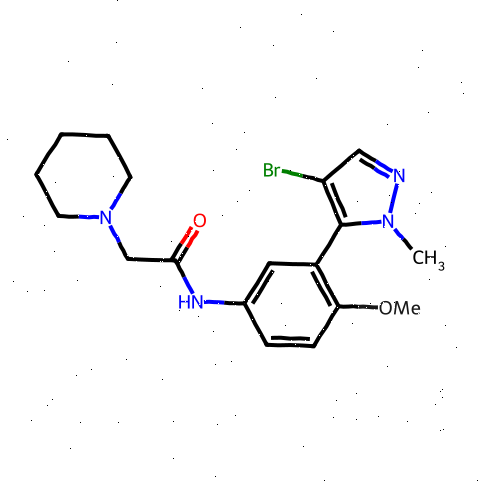 COc1ccc(NC(=O)CN2CCCCC2)cc1-c1c(Br)cnn1C